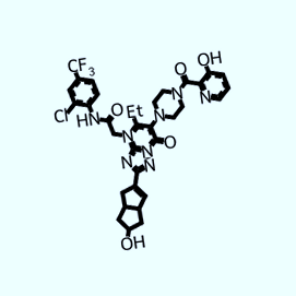 CCc1c(N2CCN(C(=O)c3ncccc3O)CC2)c(=O)n2nc(C3=CC4CC(O)CC4C3)nc2n1CC(=O)Nc1ccc(C(F)(F)F)cc1Cl